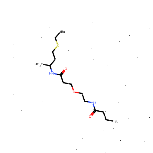 CC(C)(C)CCC(=O)NCCOCCC(=O)NC(CCSCC(C)(C)C)C(=O)O